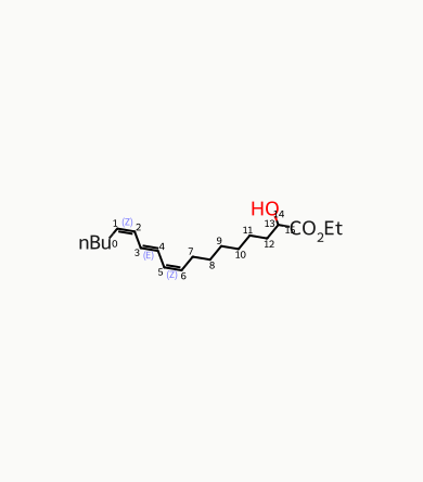 CCCC\C=C/C=C/C=C\CCCCCCC(O)C(=O)OCC